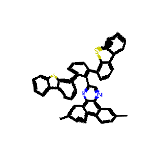 Cc1ccc2c3ccc(C)cc3c3nc(-c4c(-c5cccc6c5sc5ccccc56)cccc4-c4cccc5c4sc4ccccc45)cnc3c2c1